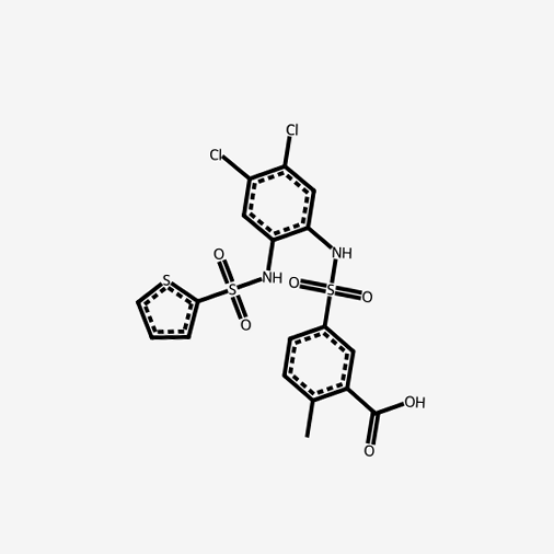 Cc1ccc(S(=O)(=O)Nc2cc(Cl)c(Cl)cc2NS(=O)(=O)c2cccs2)cc1C(=O)O